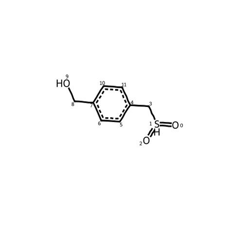 O=[SH](=O)Cc1ccc(CO)cc1